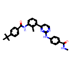 CNC(=O)c1ccc(Nc2nccc(-c3cccc(NC(=O)c4ccc(C(C)(C)C)cc4)c3C)n2)cc1